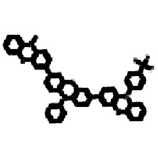 CN1c2ccccc2Sc2cc(-c3ccc4c(c3)Sc3cc(-c5ccc6c(c5)Sc5ccccc5N6c5ccc(C(F)(F)F)cc5)ccc3N4c3ccccc3)ccc21